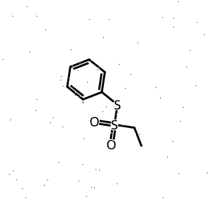 CCS(=O)(=O)Sc1[c]cccc1